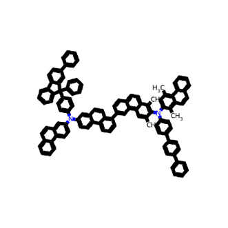 Cc1cc2c(ccc3ccc(-c4cccc5c4ccc4cc(N(c6ccc(C7(c8ccccc8)c8ccccc8-c8ccc(-c9ccccc9)cc87)cc6)c6ccc7c(ccc8ccccc87)c6)ccc45)cc32)c(C)c1N(c1ccc(-c2ccc(-c3ccccc3)cc2)cc1)c1cc(C)c2c(ccc3ccccc32)c1C